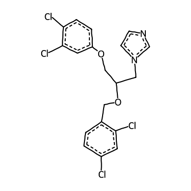 Clc1ccc(COC(COc2ccc(Cl)c(Cl)c2)Cn2ccnc2)c(Cl)c1